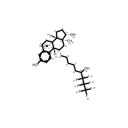 C=C[C@@]12CCc3cc(O)ccc3[C@H]1[C@@H](CCCCCC(O)C(F)(F)C(F)(F)C(F)(F)F)C[C@@]1(C)[C@H]2CC[C@@H]1O